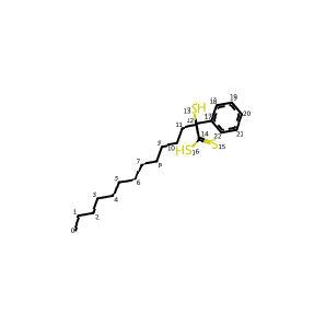 CCCCCCCCCCCCC(S)(C(=S)S)c1ccccc1